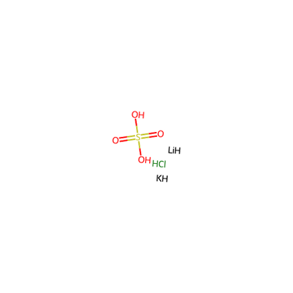 Cl.O=S(=O)(O)O.[KH].[LiH]